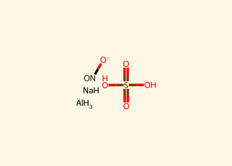 O=S(=O)(O)O.O=[NH+][O-].[AlH3].[NaH]